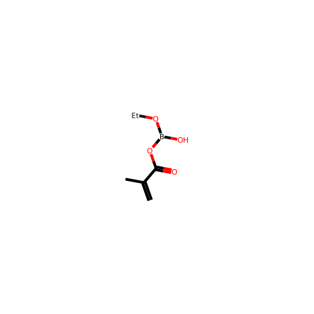 C=C(C)C(=O)OB(O)OCC